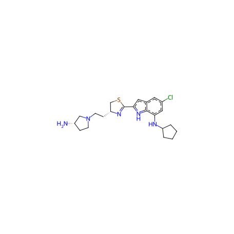 N[C@H]1CCN(CC[C@@H]2CSC(c3cc4cc(Cl)cc(NC5CCCC5)c4[nH]3)=N2)C1